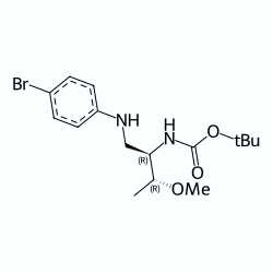 CO[C@H](C)[C@@H](CNc1ccc(Br)cc1)NC(=O)OC(C)(C)C